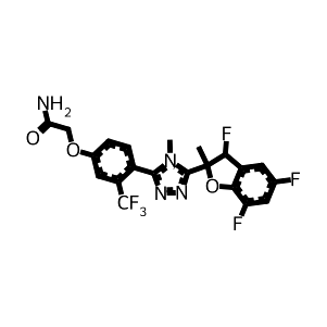 Cn1c(-c2ccc(OCC(N)=O)cc2C(F)(F)F)nnc1C1(C)Oc2c(F)cc(F)cc2C1F